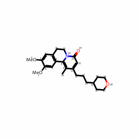 COc1cc2c(cc1OC)-c1c(C)c(CCCC3CCOCC3)cc(=O)n1CC2